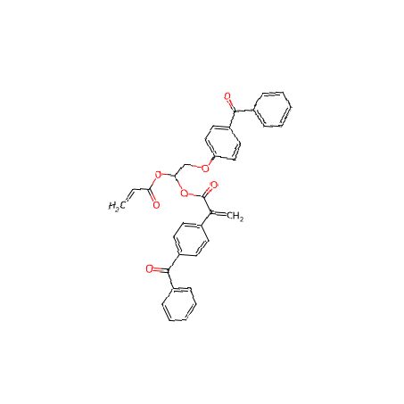 C=CC(=O)OC(COc1ccc(C(=O)c2ccccc2)cc1)OC(=O)C(=C)c1ccc(C(=O)c2ccccc2)cc1